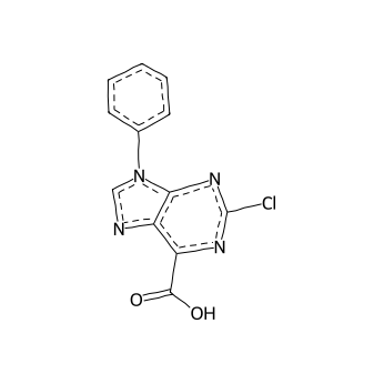 O=C(O)c1nc(Cl)nc2c1ncn2-c1ccccc1